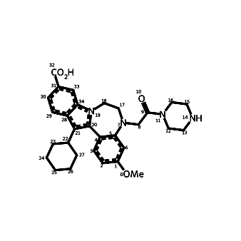 COc1ccc2c(c1)N(CC(=O)N1CCNCC1)CCn1c-2c(C2CCCCC2)c2ccc(C(=O)O)cc21